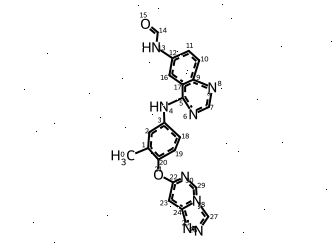 Cc1cc(Nc2ncnc3ccc(NC=O)cc23)ccc1Oc1cc2nncn2cn1